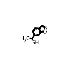 CC(S)c1ccc2cnoc2c1